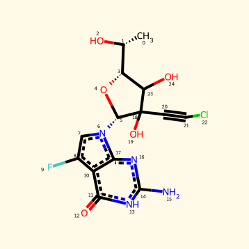 C[C@@H](O)[C@H]1O[C@@H](n2cc(F)c3c(=O)[nH]c(N)nc32)C(O)(C#CCl)C1O